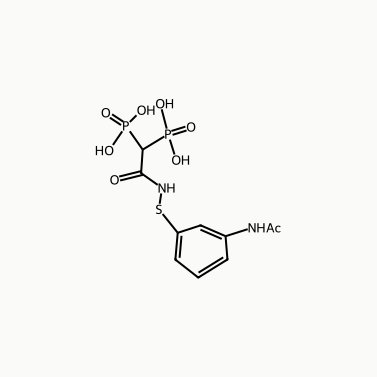 CC(=O)Nc1cccc(SNC(=O)C(P(=O)(O)O)P(=O)(O)O)c1